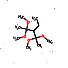 CCC([Si](C)(OC)OC)[Si](C)(OC)OC